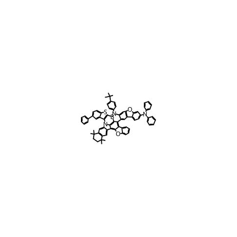 CC(C)(C)c1ccc(N2B3c4sc5ccc(-c6ccccc6)cc5c4-n4c5cc6c(cc5c5c7oc8ccccc8c7c(c3c54)-c3cc4c(cc32)oc2cc(N(c3ccccc3)c3ccccc3)ccc24)C(C)(C)CCC6(C)C)cc1